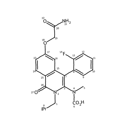 CC(C)Cn1c(N(C)C(=O)O)c(-c2ccccc2F)c2cc(OCC(N)=O)ccc2c1=O